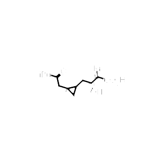 CCC(C)C(=O)CC1CC1C[C@@H](O)[C@@H](CC)C(=O)O